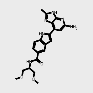 COCC(COC)NC(=O)c1ccc2[nH]c(-c3cc(N)nc4[nH]c(C)nc34)cc2c1